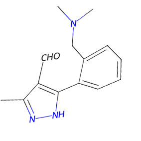 Cc1n[nH]c(-c2ccccc2CN(C)C)c1C=O